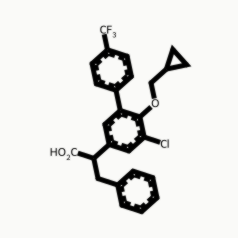 O=C(O)C(Cc1ccccc1)c1cc(Cl)c(OCC2CC2)c(-c2ccc(C(F)(F)F)cc2)c1